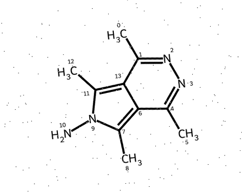 Cc1nnc(C)c2c(C)n(N)c(C)c12